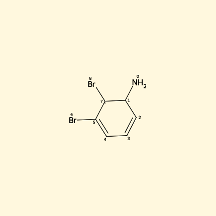 NC1C=CC=C(Br)[C]1Br